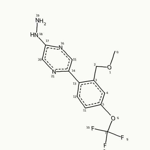 COCc1cc(OC(F)(F)F)ccc1-c1cnc(NN)cn1